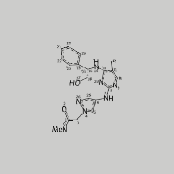 CNC(=O)Cn1cc(Nc2ncc(C)c(N[C@H](CO)c3ccccc3)n2)cn1